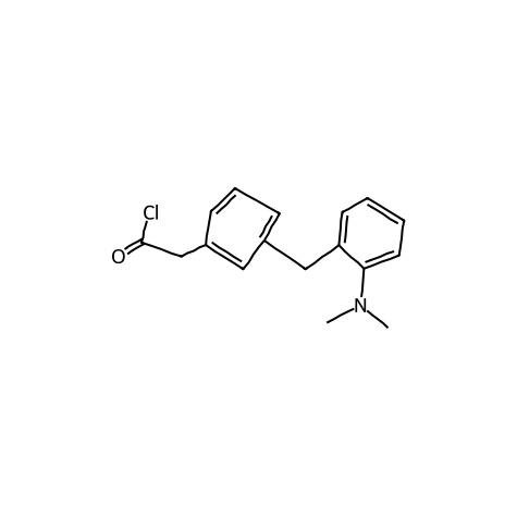 CN(C)c1ccccc1Cc1cccc(CC(=O)Cl)c1